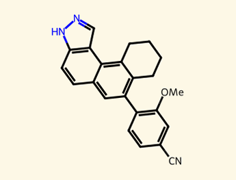 COc1cc(C#N)ccc1-c1cc2ccc3[nH]ncc3c2c2c1CCCC2